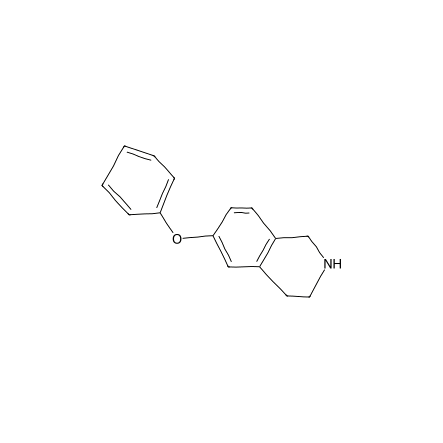 c1ccc(Oc2ccc3c(c2)CCNC3)cc1